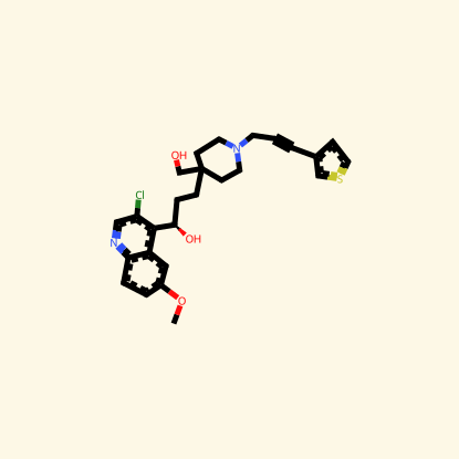 COc1ccc2ncc(Cl)c([C@H](O)CCC3(CO)CCN(CC#Cc4ccsc4)CC3)c2c1